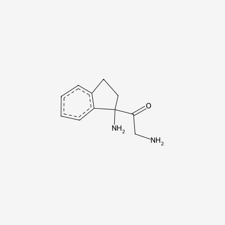 NCC(=O)C1(N)CCc2ccccc21